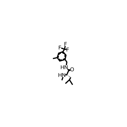 CN[C@@H](CC(C)C)C(=O)NCc1cc(C)cc(C(F)(F)F)c1